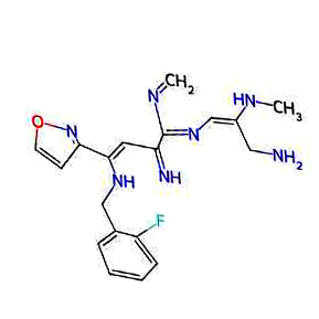 C=N/C(=N\C=C(/CN)NC)C(=N)/C=C(\NCc1ccccc1F)c1ccon1